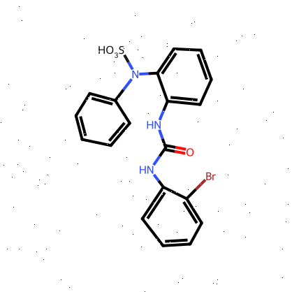 O=C(Nc1ccccc1Br)Nc1ccccc1N(c1ccccc1)S(=O)(=O)O